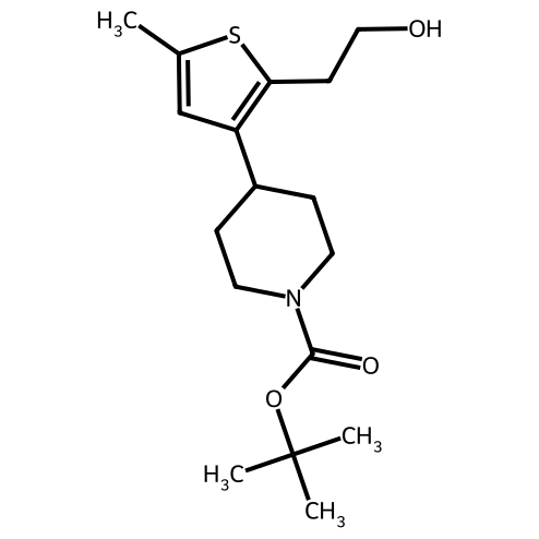 Cc1cc(C2CCN(C(=O)OC(C)(C)C)CC2)c(CCO)s1